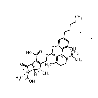 C=C(C)[C@@H]1CCC(C)=C[C@H]1c1c(O)cc(CCCCC)cc1OC(=S)OCC1=C(C(=O)O)C2C(=O)[C@H]([C@@H](C)O)[C@H]2[C@H]1C